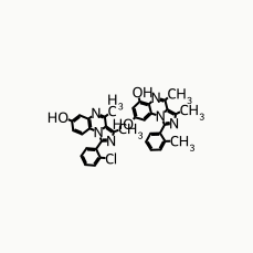 Cc1ccccc1-c1nc(C)c2c(C)nc3c(O)cc(O)cc3n12.Cc1nc(-c2ccccc2Cl)n2c1c(C)nc1cc(O)ccc12